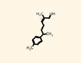 C/C(=C/CCC(C)c1ccc(C)cc1)CO